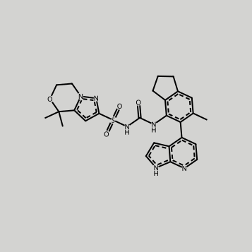 Cc1cc2c(c(NC(=O)NS(=O)(=O)c3cc4n(n3)CCOC4(C)C)c1-c1ccnc3[nH]ccc13)CCC2